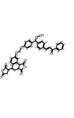 O=C1CC(C2CC3C(=O)OC(=O)C3c3cc(OCOc4ccc(C(OO)c5ccc(/C=C/C(=O)c6ccccc6)cc5)cc4)ccc32)C(=O)O1